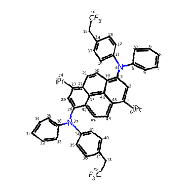 CC(C)c1cc(N(c2ccccc2)c2ccc(CC(F)(F)F)cc2)c2ccc3c(C(C)C)cc(N(c4ccccc4)c4ccc(CC(F)(F)F)cc4)c4ccc1c2c34